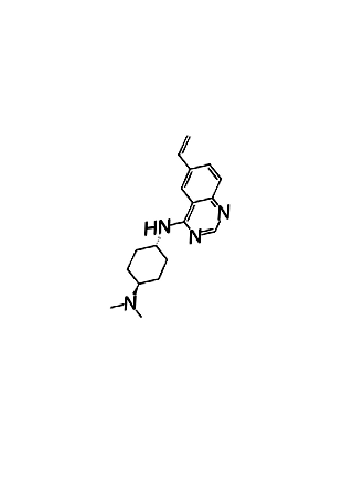 C=Cc1ccc2ncnc(N[C@H]3CC[C@H](N(C)C)CC3)c2c1